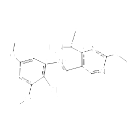 COc1cc(N=Cc2cnc(SC)nc2C(C)N)c(Cl)c(OC)c1